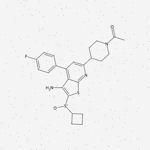 CC(=O)N1CCC(c2cc(-c3ccc(F)cc3)c3c(N)c([S+]([O-])C4CCC4)sc3n2)CC1